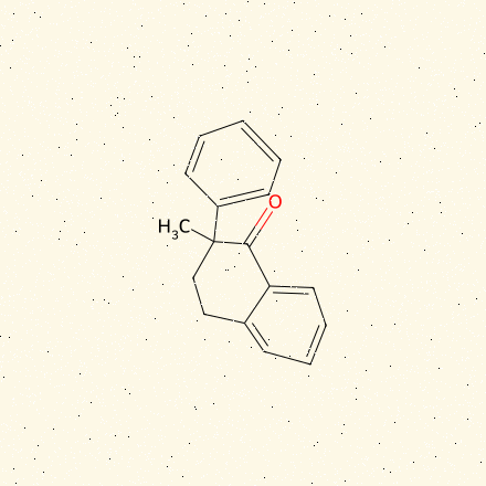 CC1(c2ccccc2)CCc2ccccc2C1=O